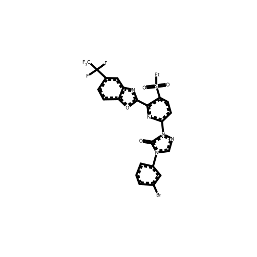 CCS(=O)(=O)c1ccc(-n2ncn(-c3cccc(Br)c3)c2=O)nc1-c1nc2cc(C(F)(F)C(F)(F)F)ccc2o1